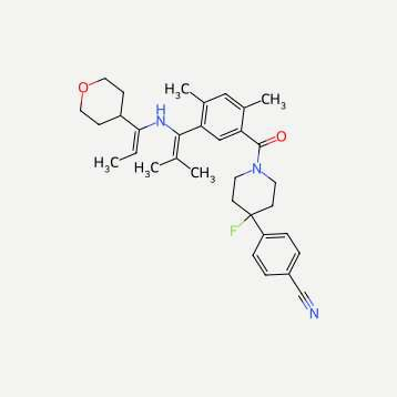 C/C=C(/NC(=C(C)C)c1cc(C(=O)N2CCC(F)(c3ccc(C#N)cc3)CC2)c(C)cc1C)C1CCOCC1